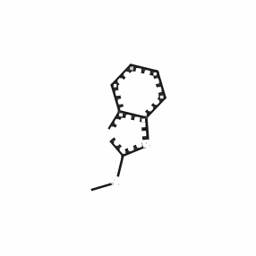 CNc1nc2ccccc2o1